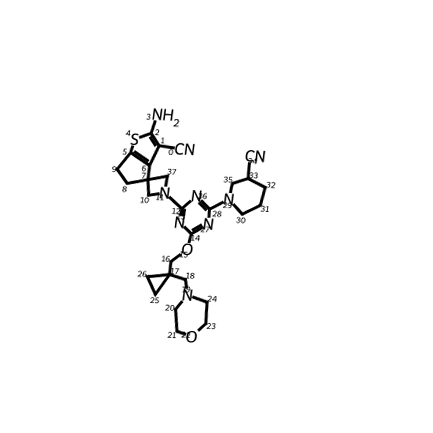 N#Cc1c(N)sc2c1C1(CC2)CN(c2nc(OCC3(CN4CCOCC4)CC3)nc(N3CCCC(C#N)C3)n2)C1